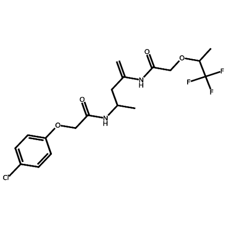 C=C(CC(C)NC(=O)COc1ccc(Cl)cc1)NC(=O)COC(C)C(F)(F)F